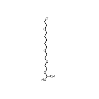 OC(O)OCCOCCOCCCCCOCCCl